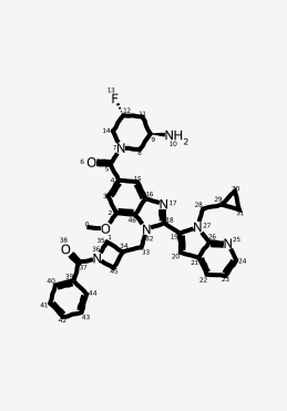 COc1cc(C(=O)N2C[C@H](N)C[C@@H](F)C2)cc2nc(-c3cc4cccnc4n3CC3CC3)n(CC3CN(C(=O)c4ccccc4)C3)c12